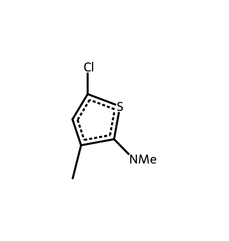 CNc1sc(Cl)cc1C